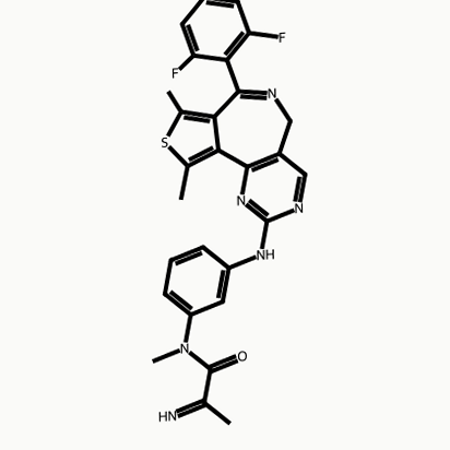 CC(=N)C(=O)N(C)c1cccc(Nc2ncc3c(n2)-c2c(C)sc(C)c2C(c2c(F)cccc2F)=NC3)c1